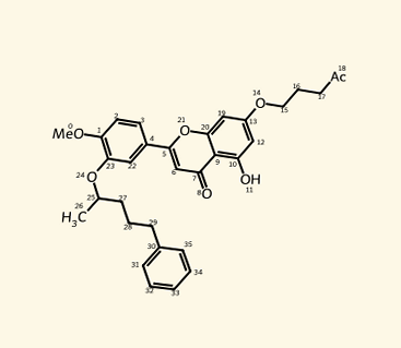 COc1ccc(-c2cc(=O)c3c(O)cc(OCCCC(C)=O)cc3o2)cc1OC(C)CCCc1ccccc1